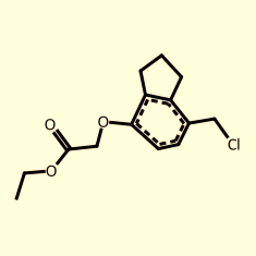 CCOC(=O)COc1ccc(CCl)c2c1CCC2